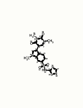 Cn1cc(-c2cn(C)c3cc(S(=O)(=O)Nc4ncns4)ccc23)c(=O)n(C)c1=O